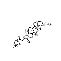 CN1CCN(C(=O)COC(=O)[C@H]2CC[C@]3(C)[C@H]4C(=O)C=C5[C@@H]6C[C@@](C)(C(=O)O)CC[C@]6(C)CC[C@@]5(C)[C@]4(C)CC[C@H]3C2(C)C)CC1